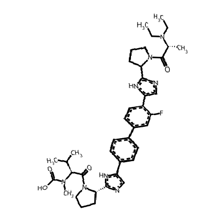 CCN(CC)[C@H](C)C(=O)N1CCCC1c1ncc(-c2ccc(-c3ccc(-c4cnc([C@@H]5CCCN5C(=O)[C@H](C(C)C)N(C)C(=O)O)[nH]4)cc3)cc2F)[nH]1